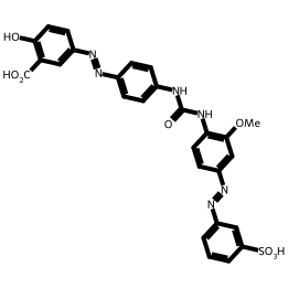 COc1cc(N=Nc2cccc(S(=O)(=O)O)c2)ccc1NC(=O)Nc1ccc(N=Nc2ccc(O)c(C(=O)O)c2)cc1